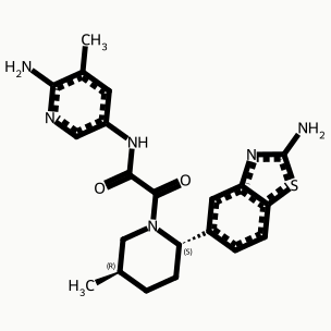 Cc1cc(NC(=O)C(=O)N2C[C@H](C)CC[C@H]2c2ccc3sc(N)nc3c2)cnc1N